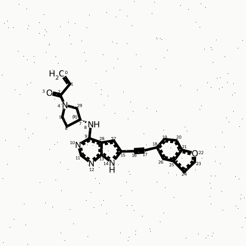 C=CC(=O)N1CC[C@@H](Nc2ncnc3[nH]c(C#Cc4ccc5occc5c4)cc23)C1